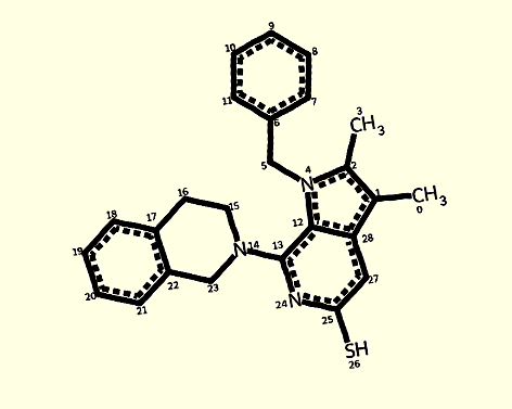 Cc1c(C)n(Cc2ccccc2)c2c(N3CCc4ccccc4C3)nc(S)cc12